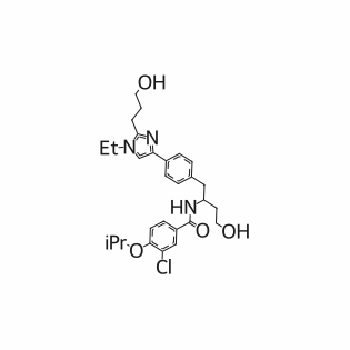 CCn1cc(-c2ccc(CC(CCO)NC(=O)c3ccc(OC(C)C)c(Cl)c3)cc2)nc1CCCO